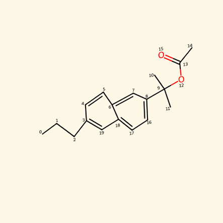 CCCc1ccc2cc(C(C)(C)OC(C)=O)ccc2c1